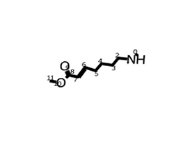 CNCCCCC=CC(=O)OC